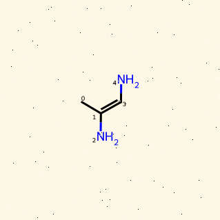 C/C(N)=C\N